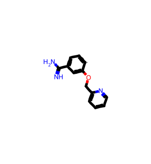 N=C(N)c1cc[c]c(OCc2ccccn2)c1